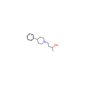 CC(O)CCN1CCC(c2ccccc2)CC1